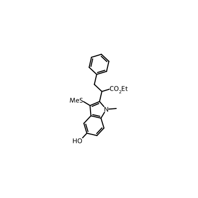 CCOC(=O)C(Cc1ccccc1)c1c(SC)c2cc(O)ccc2n1C